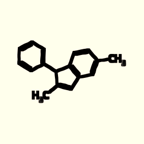 CC1=Cc2cc(C)ccc2C1c1ccccc1